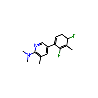 CC1=C(F)C(c2cnc(N(C)C)c(C)c2)=CCC1F